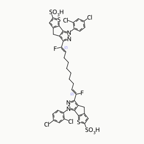 O=S(=O)(O)c1cc2c(s1)-c1c(c(/C(F)=C/CCCCCC/C=C(\F)c3nn(-c4ccc(Cl)cc4Cl)c4c3Cc3cc(S(=O)(=O)O)sc3-4)nn1-c1ccc(Cl)cc1Cl)C2